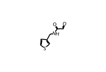 O=CC(=O)NCc1ccsc1